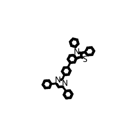 c1ccc(-c2cc(-c3ccccc3)nc(-c3ccc(-c4ccc5c(c4)c4sc6ccccc6c4n5-c4ccccc4)cc3)n2)cc1